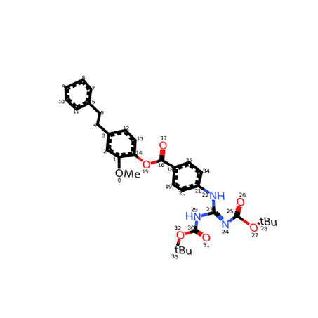 COc1cc(CCc2ccccc2)ccc1OC(=O)c1ccc(N/C(=N\C(=O)OC(C)(C)C)NC(=O)OC(C)(C)C)cc1